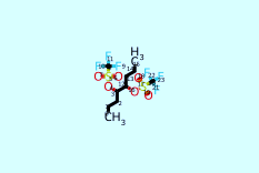 CCCC(OS(=O)(=O)C(F)(F)F)C(CCC)OS(=O)(=O)C(F)(F)F